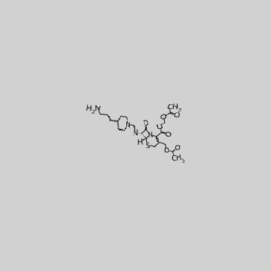 CC(=O)OCOC(=O)C1=C(COC(C)=O)CS[C@@H]2[C@H](N=CN3CCC(CCCN)CC3)C(=O)N12